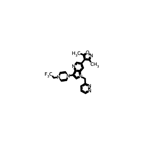 Cc1noc(C)c1-c1cnc2c(N3C=CN(CC(F)(F)F)C=C3)cn(Cc3cccnn3)c2c1